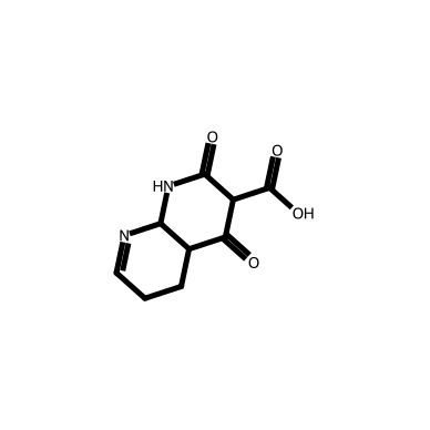 O=C(O)C1C(=O)NC2N=CCCC2C1=O